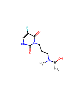 CB(O)N(C)CCCn1c(=O)[nH]cc(F)c1=O